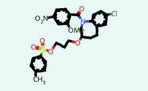 COc1cc([N+](=O)[O-])ccc1C(=O)N1CC(OCCCOS(=O)(=O)c2ccc(C)cc2)CCc2cc(Cl)ccc21